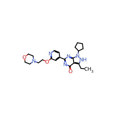 CCc1[nH]n(C2CCCC2)c2nc(-c3ccnc(OCCN4CCOCC4)c3)nc(=O)c1-2